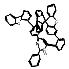 C1=C(c2ccccc2-c2ccc3c(c2)Oc2ccccc2C32c3ccccc3-c3ccccc32)NC(c2ccccc2)N=C1c1ccc(-c2cccc3c2oc2ccccc23)cc1